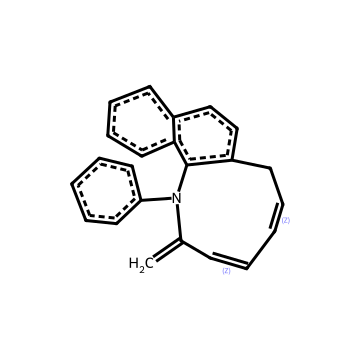 C=C1/C=C\C=C/Cc2ccc3ccccc3c2N1c1ccccc1